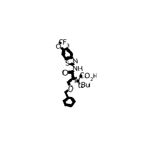 CC(C)(C)N(C(=O)O)C(COCc1ccccc1)C(=O)Nc1nc2ccc(OC(F)(F)F)cc2s1